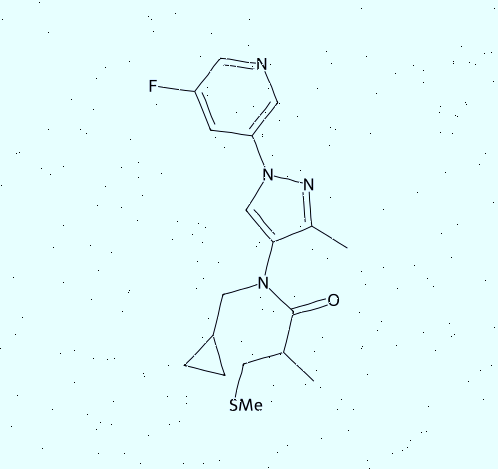 CSCC(C)C(=O)N(CC1CC1)c1cn(-c2cncc(F)c2)nc1C